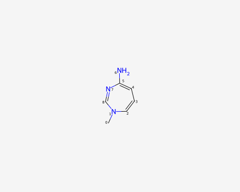 CN1C=CC=C(N)N=C1